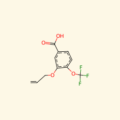 C=CCOc1cc(C(=O)O)ccc1OC(F)(F)F